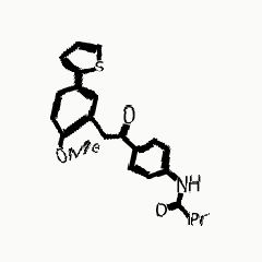 COc1ccc(-c2cccs2)cc1CC(=O)c1ccc(NC(=O)C(C)C)cc1